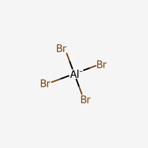 [Br][Al-]([Br])([Br])[Br]